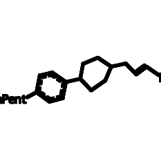 CCCCCc1ccc(C2CCC(CC=CF)CC2)cc1